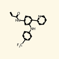 C=CC(=O)Nc1ccc(-c2ccccn2)c(Nc2ccc(C(F)(F)F)cc2)c1